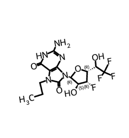 CCCn1c(=O)n([C@@H]2O[C@H](C(O)C(F)(F)F)[C@H](F)[C@H]2O)c2nc(N)[nH]c(=O)c21